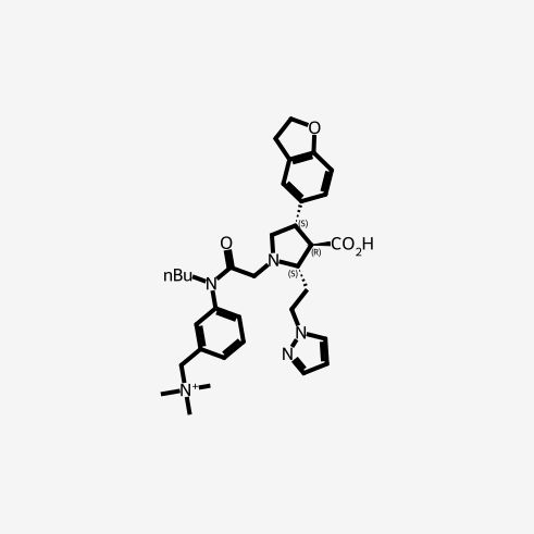 CCCCN(C(=O)CN1C[C@H](c2ccc3c(c2)CCO3)[C@@H](C(=O)O)[C@@H]1CCn1cccn1)c1cccc(C[N+](C)(C)C)c1